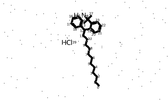 CCCCCCCCCCCCC(c1ccccc1)c1ccccc1C(C)(C)N.Cl